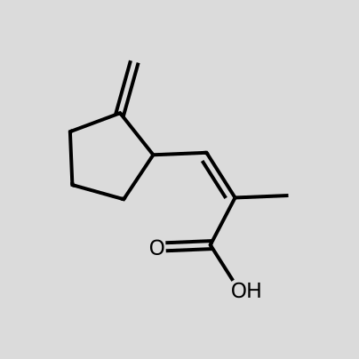 C=C1CCCC1C=C(C)C(=O)O